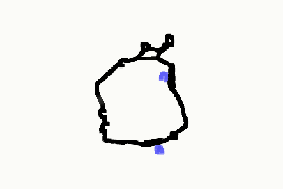 O=C1OC2CCCCCCC/C=C\CCC/C=C/C12